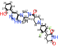 O=C1CCC(c2c(F)cc(N3CCC(C(=O)N4CCN5c6cc(-c7ccccc7O)nnc6NC[C@H]5C4)CC3)cc2F)C(=O)N1